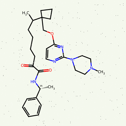 CC(CCCCC(=O)C(=O)N[C@H](C)c1ccccc1)C1(COc2ccnc(N3CCN(C)CC3)n2)CCC1